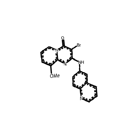 COc1cccn2c(=O)c(Br)c(Nc3ccc4ncccc4c3)nc12